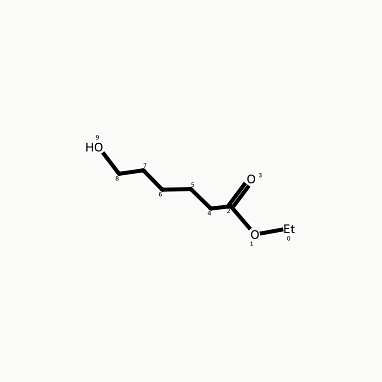 [CH2]COC(=O)CCCCCO